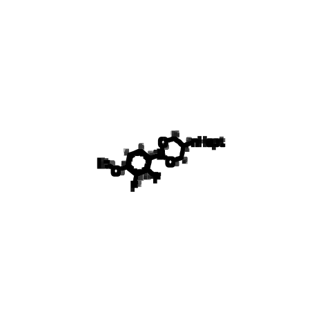 CCCCCCCC1COB(c2ccc(OCC)c(F)c2F)OC1